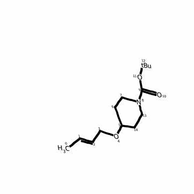 CC=CCOC1CCN(C(=O)OC(C)(C)C)CC1